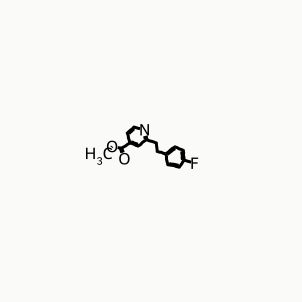 COC(=O)c1ccnc(CCc2ccc(F)cc2)c1